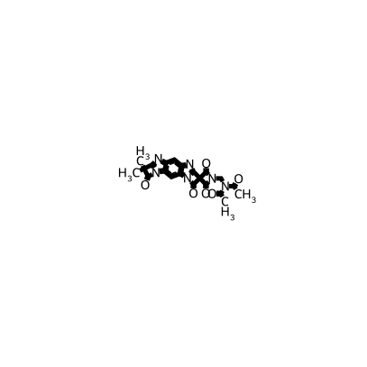 CC(=O)N(CN1C(=O)C2(C1=O)C(=O)n1c2nc2cc3nc4n(c3cc21)C(=O)C4(C)C)C(C)=O